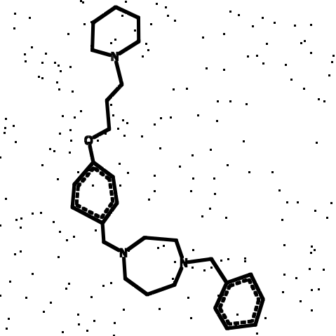 c1ccc(CN2CCCN(Cc3ccc(OCCCN4CCCCC4)cc3)CC2)cc1